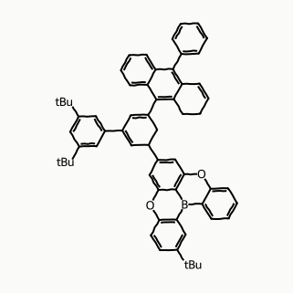 CC(C)(C)c1cc(C2=CC(c3cc4c5c(c3)Oc3ccc(C(C)(C)C)cc3B5c3ccccc3O4)CC(c3c4c(c(-c5ccccc5)c5ccccc35)C=CCC4)=C2)cc(C(C)(C)C)c1